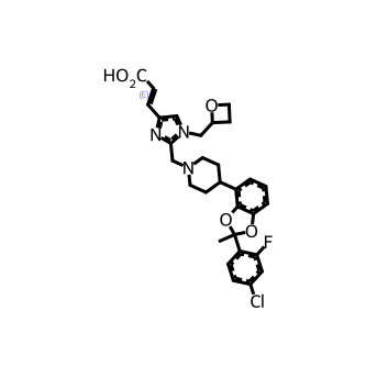 CC1(c2ccc(Cl)cc2F)Oc2cccc(C3CCN(Cc4nc(/C=C/C(=O)O)cn4CC4CCO4)CC3)c2O1